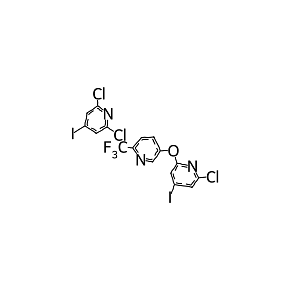 Clc1cc(I)cc(Cl)n1.FC(F)(F)c1ccc(Oc2cc(I)cc(Cl)n2)cn1